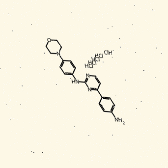 Cl.Cl.Cl.Cl.Cl.Nc1ccc(-c2ccnc(Nc3ccc(N4CCOCC4)cc3)n2)cc1